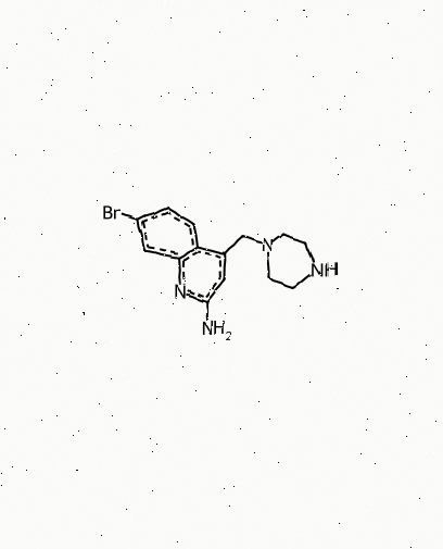 Nc1cc(CN2CCNCC2)c2ccc(Br)cc2n1